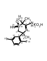 CC1(C)C(NC(=O)O)=N[C@](C)(c2cc(I)ccc2F)C[S@@]1(=N)=O